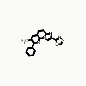 FC(F)(F)c1cc2ccc3nc(-c4nnco4)cn3c2nc1-c1ccccc1